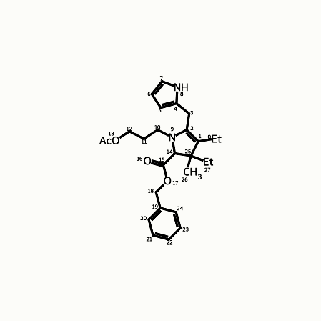 CCC1=C(Cc2ccc[nH]2)N(CCCOC(C)=O)C(C(=O)OCc2ccccc2)C1(C)CC